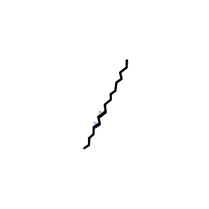 [CH2]CCC/C=C/C=C/CCCCCCCCC